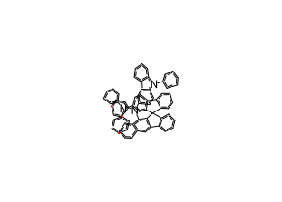 c1ccc(N(c2ccccc2)c2ccc3c(c2)C2(c4ccccc4-3)c3ccccc3-c3cc4ccccc4c(N(c4ccccc4)c4ccc5c(c4)c4ccccc4n5-c4ccccc4)c32)cc1